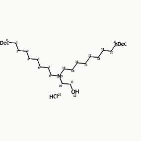 CCCCCCCCCCCCCCCCCCN(CCO)CCCCCCCCCCCCCCCCCC.Cl